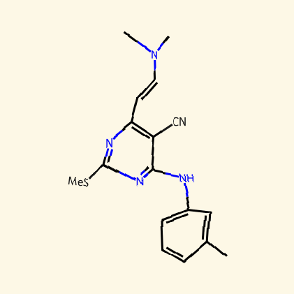 CSc1nc(C=CN(C)C)c(C#N)c(Nc2cccc(C)c2)n1